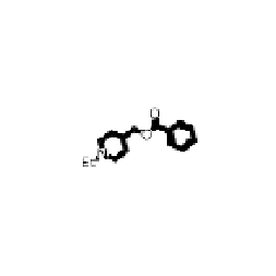 CCN1CCC(COC(=O)c2ccccc2)CC1